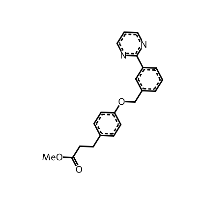 COC(=O)CCc1ccc(OCc2cccc(-c3ncccn3)c2)cc1